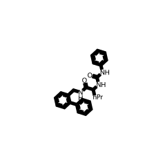 CCCC(NC(=O)Nc1ccccc1)C(=O)NCc1ccccc1-c1ccccc1